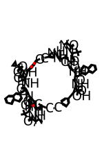 CN[C@@H](C)C(=O)N[C@H](C(=O)N1CC2C[C@H]1C(=O)N[C@@H](Cc1ccc3ccccc3c1)C(=O)N[C@H](C(=O)O)Cc1ccc(cc1)CCCC[C@H]1C[C@@H](C(=O)N[C@@H](Cc3ccc4ccccc4c3)C(=O)N[C@H](C(=O)NS(=O)(=O)C3CC3)Cc3ccc(cc3)OCc3cn2nn3)N(C(=O)[C@@H](NC(=O)[C@H](C)NC)C(C)(C)C)C1)C(C)(C)C